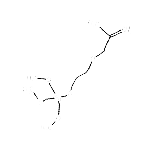 C=C(C)COCCO[Si](OC)(OC)OC